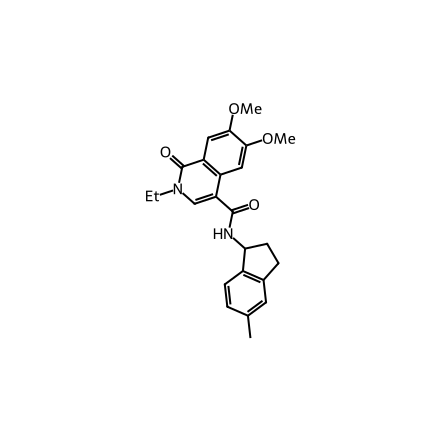 CCn1cc(C(=O)NC2CCc3cc(C)ccc32)c2cc(OC)c(OC)cc2c1=O